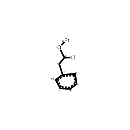 CCOC(Cl)Cc1ccccc1